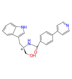 O=C(N[C@@H](CO)Cc1c[nH]c2ccccc12)c1ccc(-c2ccncc2)cc1